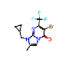 Cc1cn2c(=O)c(Br)c(C(F)(F)F)nc2n1CC1CC1